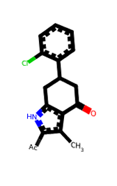 CC(=O)c1[nH]c2c(c1C)C(=O)CC(c1ccccc1Cl)C2